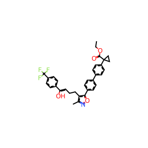 CCOC(=O)C1(c2ccc(-c3ccc(-c4onc(C)c4CC/C=C(\O)c4ccc(C(F)(F)F)cc4)cc3)cc2)CC1